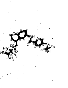 CC(C)(C(=N)N)S(=O)(=O)CC1CCOc2ccc(NC(=O)c3ccc(OC(F)(F)F)cn3)cc21